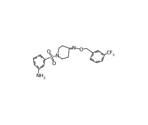 Nc1cccc(S(=O)(=O)N2CCC(=NOCc3cccc(C(F)(F)F)c3)CC2)c1